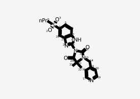 CCCS(=O)(=O)c1ccc2[nH]c(N3C(=O)N(Cc4ccncc4)C(C)(C)C3=O)nc2c1